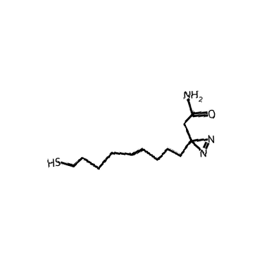 NC(=O)CC1(CCCCCCCCCS)N=N1